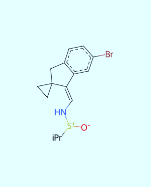 CC(C)[S+]([O-])NC=C1c2cc(Br)ccc2CC12CC2